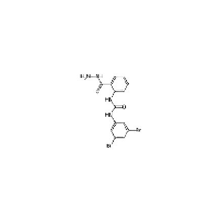 NNC(=O)c1ccccc1NC(=O)Nc1cc(Br)cc(Br)c1